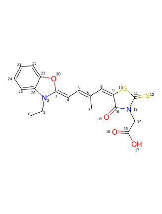 CCN1/C(=C/C=C(C)/C=C2/SC(=S)N(CC(=O)O)C2=O)Oc2ccccc21